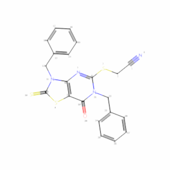 N#CCSc1nc2c(sc(=S)n2Cc2ccccc2)c(=O)n1Cc1ccccc1